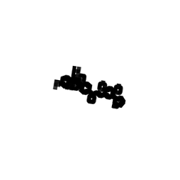 COc1cc(OC)c(-c2cccs2)cc1C=CC(=O)c1ccc(S(=O)(=O)Nc2ccc(F)cn2)cc1